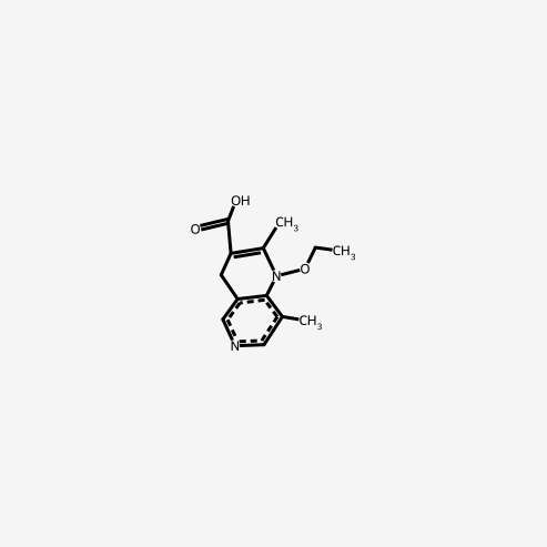 CCON1C(C)=C(C(=O)O)Cc2cncc(C)c21